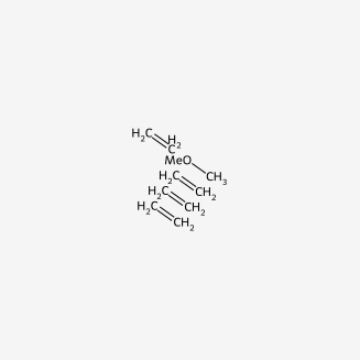 C=C.C=C.C=C.C=C.COC